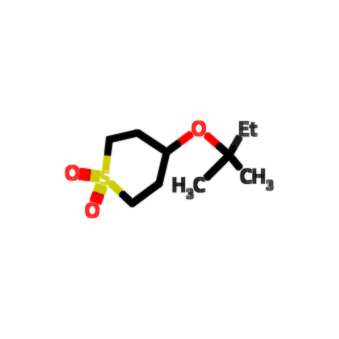 CCC(C)(C)OC1CCS(=O)(=O)CC1